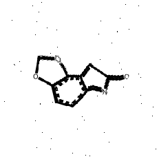 O=C1C=c2c3c(ccc2=N1)OCO3